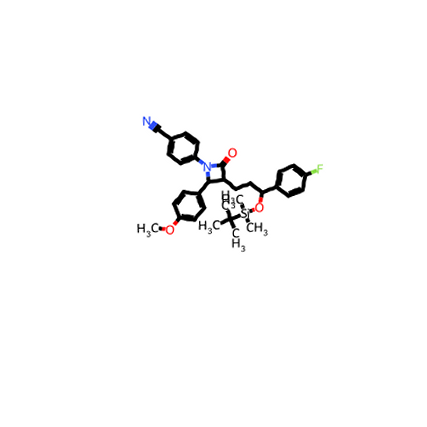 COc1ccc(C2C(CCC(O[Si](C)(C)C(C)(C)C)c3ccc(F)cc3)C(=O)N2c2ccc(C#N)cc2)cc1